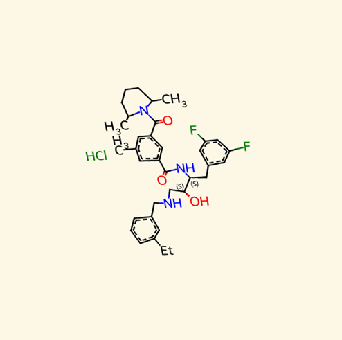 CCc1cccc(CNC[C@H](O)[C@H](Cc2cc(F)cc(F)c2)NC(=O)c2cc(C)cc(C(=O)N3C(C)CCCC3C)c2)c1.Cl